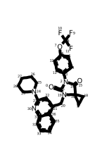 O=C1N(c2ccc(OC(F)(F)F)cc2)C(=O)C2(CC2)N1Cc1cc(N2CCCCC2)nc2ccccc12